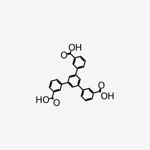 O=C(O)c1cccc(-c2cc(-c3cccc(C(=O)O)c3)cc(-c3cccc(C(=O)O)c3)c2)c1